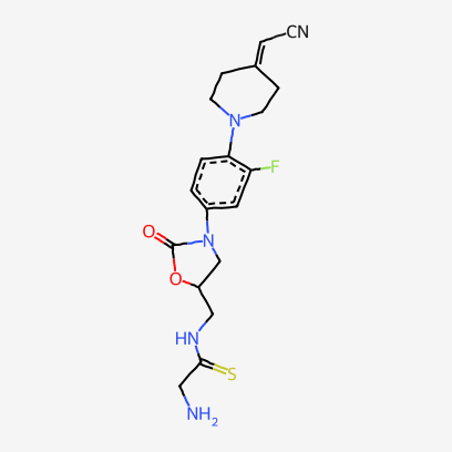 N#CC=C1CCN(c2ccc(N3CC(CNC(=S)CN)OC3=O)cc2F)CC1